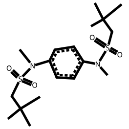 CN(c1ccc(N(C)S(=O)(=O)CC(C)(C)C)cc1)S(=O)(=O)CC(C)(C)C